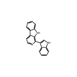 c1ccc2c(-c3nccc4c3[nH]c3ccccc34)c[nH]c2c1